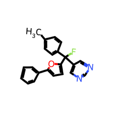 Cc1ccc(C(F)(c2cncnc2)c2ccc(-c3ccccc3)o2)cc1